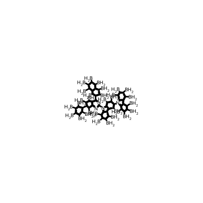 Bc1c(B)c(B)c(-c2c(B)c(B)c3c(-c4c(B)c(B)c5c(B)c(B)c(B)c(B)c5c4B)nc(-n4c5c(B)c(B)c(B)c(B)c5c5c(B)c(-n6c7c(B)c(B)c(B)c(B)c7c7c(B)c(B)c(B)c(B)c76)c(B)c(B)c54)nc3c2B)c(B)c1B